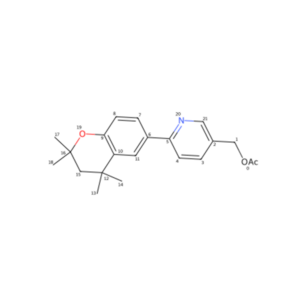 CC(=O)OCc1ccc(-c2ccc3c(c2)C(C)(C)CC(C)(C)O3)nc1